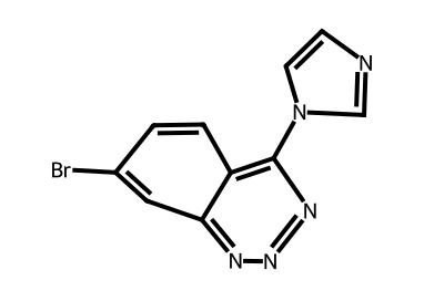 Brc1ccc2c(-n3ccnc3)nnnc2c1